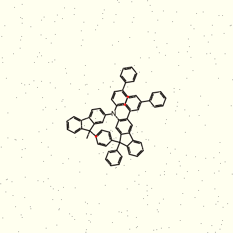 CC1(C)c2ccccc2-c2ccc(N(c3ccc(-c4ccccc4)cc3)c3cc4c(cc3-c3cccc(-c5ccccc5)c3)-c3ccccc3C4(c3ccccc3)c3ccccc3)cc21